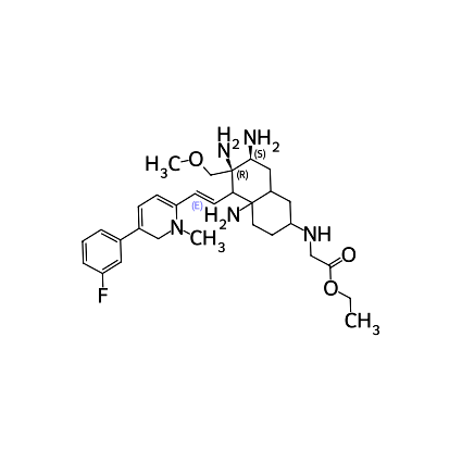 CCOC(=O)CNC1CCC2(N)C(C1)C[C@H](N)[C@@](N)(COC)C2/C=C/C1=CC=C(c2cccc(F)c2)CN1C